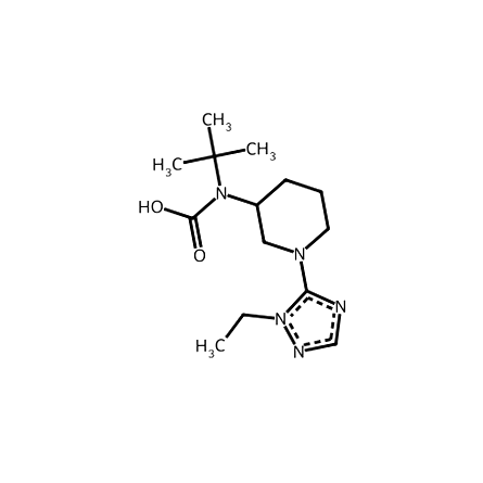 CCn1ncnc1N1CCCC(N(C(=O)O)C(C)(C)C)C1